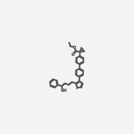 CCOC(=O)C1(c2ccc(-c3ccc(-c4ccsc4CCCC(O)c4ccccc4)cc3)cc2)CC1